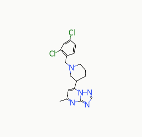 Cc1cc(C2CCCN(Cc3ccc(Cl)cc3Cl)C2)n2ncnc2n1